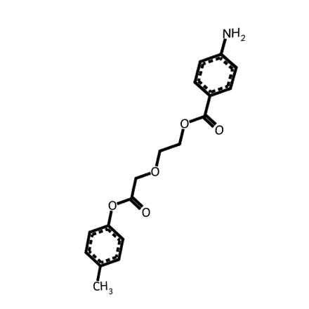 Cc1ccc(OC(=O)COCCOC(=O)c2ccc(N)cc2)cc1